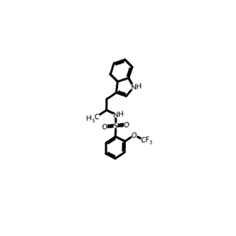 CC(CC1=CNC2=CC=CCC12)NS(=O)(=O)c1ccccc1OC(F)(F)F